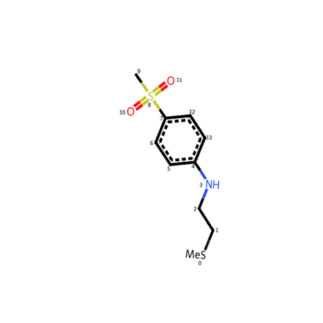 CSCCNc1ccc(S(C)(=O)=O)cc1